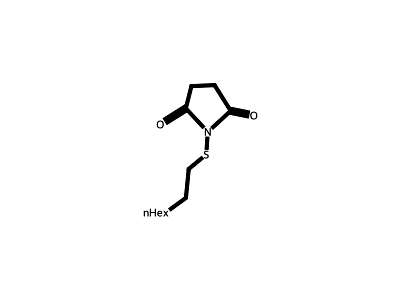 CCCCCCCCSN1C(=O)CCC1=O